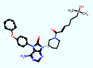 C[Si](C)(O)CCC/C=C/C(=O)N1CCC[C@H](n2c(=O)n(-c3ccc(Oc4ccccc4)cc3)c3c(N)ncnc32)C1